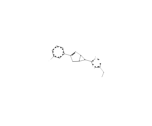 Fc1cccc(C2=CC3C(C2)C3c2noc(CCl)n2)c1